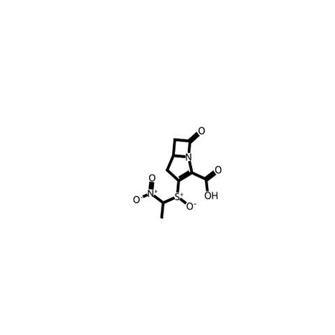 CC([N+](=O)[O-])[S+]([O-])C1=C(C(=O)O)N2C(=O)CC2C1